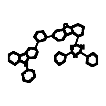 c1ccc(-c2nc(-c3ccccc3)nc(-c3cccc4oc5cc(-c6cccc(-c7ccc8c(c7)c7ccccc7n8-c7ccccc7)c6)ccc5c34)n2)cc1